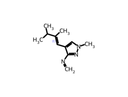 C=Nc1nn(C)cc1/C=C(\C)C(C)C